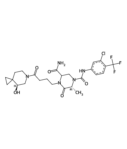 C[C@@H]1C(=O)N(CCCC(=O)N2CCC3(CC3)[C@H](O)C2)C(C(N)=O)CN1C(=O)Nc1ccc(C(F)(F)F)c(Cl)c1